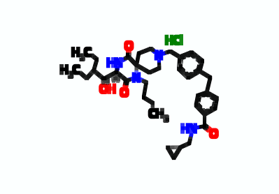 CCCCN1C(=O)[C@@H]([C@H](O)C(CC)CC)NC(=O)C12CCN(Cc1ccc(Cc3ccc(C(=O)NCC4CC4)cc3)cc1)CC2.Cl